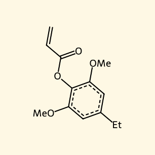 C=CC(=O)Oc1c(OC)cc(CC)cc1OC